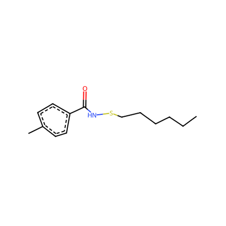 CCCCCCSNC(=O)c1ccc(C)cc1